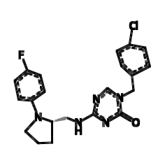 O=c1nc(NC[C@@H]2CCCN2c2ccc(F)cc2)ncn1Cc1ccc(Cl)cc1